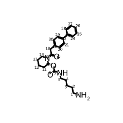 NCCCCCNC(=O)O[C@@H]1CCCCN1C(=O)Cc1ccc(-c2ccccc2)cc1